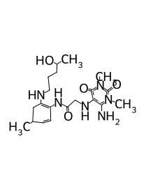 CC(O)CCCNC1=C(NC(=O)CNc2c(N)n(C)c(=O)n(C)c2=O)C=CC(C)C1